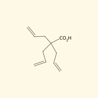 C=CCC(CC=C)(CC=C)C(=O)O